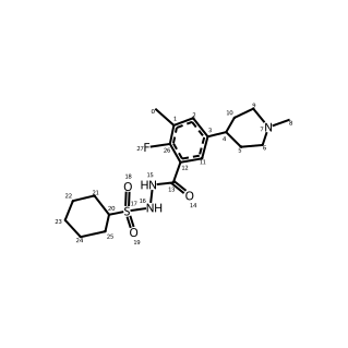 Cc1cc(C2CCN(C)CC2)cc(C(=O)NNS(=O)(=O)C2CCCCC2)c1F